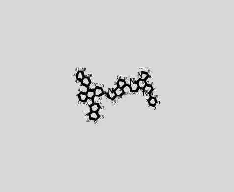 c1ccc(-c2ccc3c4cccnc4c4nc(-c5cccc6c5ccc5ccc(-c7ccc8c(-c9ccc%10ccccc%10c9)c9ccccc9c(-c9ccc%10ccccc%10c9)c8c7)nc56)ccc4c3n2)cc1